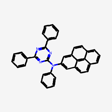 c1ccc(-c2nc(-c3ccccc3)nc(N(c3ccccc3)c3cc4ccc5cccc6ccc(c3)c4c56)n2)cc1